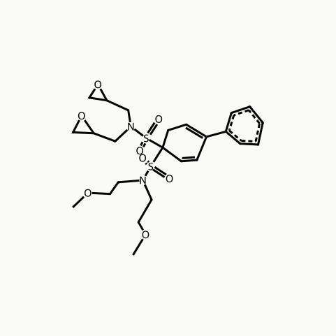 COCCN(CCOC)S(=O)(=O)C1(S(=O)(=O)N(CC2CO2)CC2CO2)C=CC(c2ccccc2)=CC1